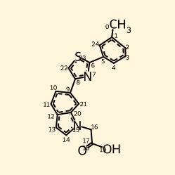 Cc1cccc(-c2nc(-c3ccc4ccn(CC(=O)O)c4c3)cs2)c1